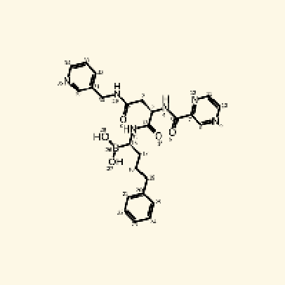 O=C(C[C@@H](NC(=O)c1cnccn1)C(=O)N[C@@H](CCCc1ccccc1)B(O)O)NCc1cccnc1